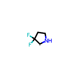 FC1(F)[CH]NCC1